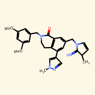 COc1cc(CN2CCc3c(cc(CN4C=CC(C)C4=N)cc3-c3cnn(C)c3)C2=O)cc(OC)c1